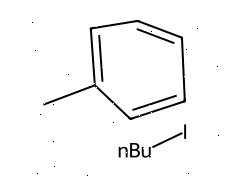 CCCCI.Cc1ccccc1